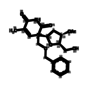 CC(=O)O[C@H]1C[C@H]([N+]2(COCc3ccccc3)C=C(C)C(=O)NC2=O)O[C@@H]1CO